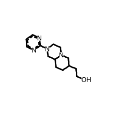 OCCC1CCC2CN(c3ncccn3)CCN2C1